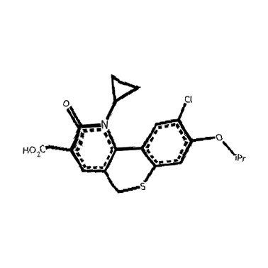 CC(C)Oc1cc2c(cc1Cl)-c1c(cc(C(=O)O)c(=O)n1C1CC1)CS2